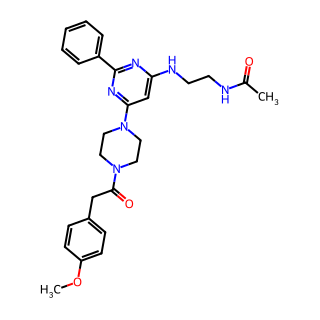 COc1ccc(CC(=O)N2CCN(c3cc(NCCNC(C)=O)nc(-c4ccccc4)n3)CC2)cc1